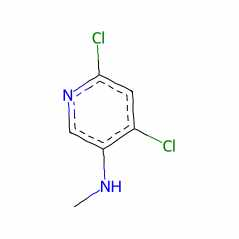 CNc1cnc(Cl)cc1Cl